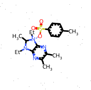 CCN1c2nc(C)c(C)nc2[N+](CC)(OS(=O)(=O)c2ccc(C)cc2)C1C